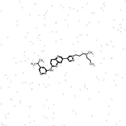 CCCN(C)CCCn1cc(-c2cnc3ccc(Nc4cc(C(C)C)cnn4)nc3c2)cn1